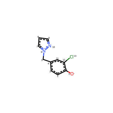 [O]c1ccc(Cn2cccn2)cc1Cl